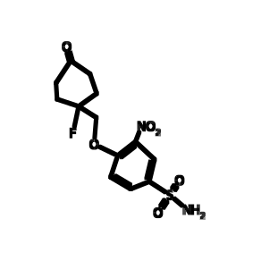 NS(=O)(=O)c1ccc(OCC2(F)CCC(=O)CC2)c([N+](=O)[O-])c1